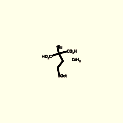 CCCCCCCCCCC(C(=O)O)(C(=O)O)C(C)(C)C.[CaH2]